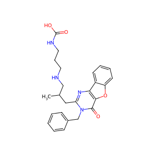 CC(CNCCCNC(=O)O)Cc1nc2c(oc3ccccc32)c(=O)n1Cc1ccccc1